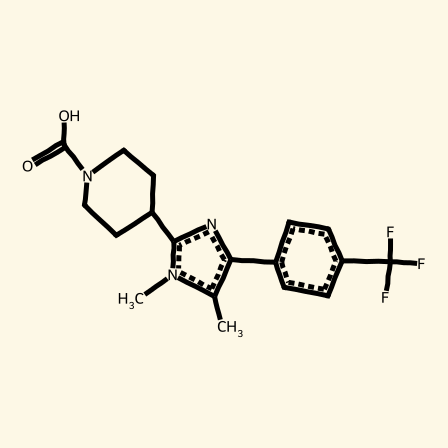 Cc1c(-c2ccc(C(F)(F)F)cc2)nc(C2CCN(C(=O)O)CC2)n1C